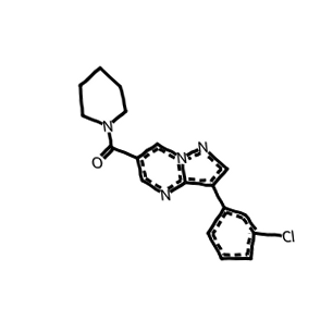 O=C(c1cnc2c(-c3cccc(Cl)c3)cnn2c1)N1CCCCC1